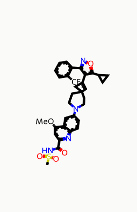 COc1cc(C(=O)NS(C)(=O)=O)nc2ccc(N3CCC4(C=C(c5c(-c6ccccc6C(F)(F)F)noc5C5CC5)C4)CC3)cc12